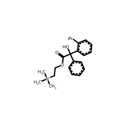 CC(C)c1ccccc1C(O)(C(=O)OCC[N+](C)(C)C)c1ccccc1